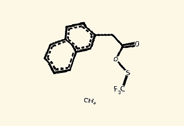 C.O=C(Cc1ccc2ccccc2c1)OSC(F)(F)F